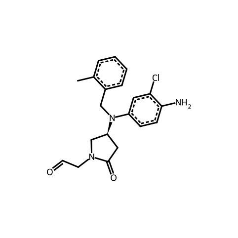 Cc1ccccc1CN(c1ccc(N)c(Cl)c1)[C@H]1CC(=O)N(CC=O)C1